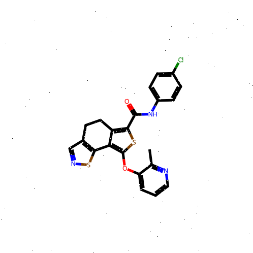 Cc1ncccc1Oc1sc(C(=O)Nc2ccc(Cl)cc2)c2c1-c1sncc1CC2